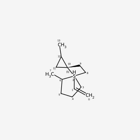 C=C[SH]12(CCCC1C)CC[C@]21CC1C